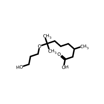 CC(CCCC(C)(C)OCCCO)CC(=O)O